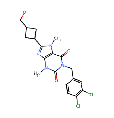 Cn1c(C2CC(CO)C2)nc2c1c(=O)n(Cc1ccc(Cl)c(Cl)c1)c(=O)n2C